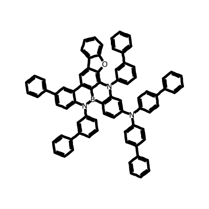 c1ccc(-c2ccc(N(c3ccc(-c4ccccc4)cc3)c3ccc4c(c3)N(c3cccc(-c5ccccc5)c3)c3c5c(cc6c3oc3ccccc36)-c3cc(-c6ccccc6)ccc3N(c3cccc(-c6ccccc6)c3)B45)cc2)cc1